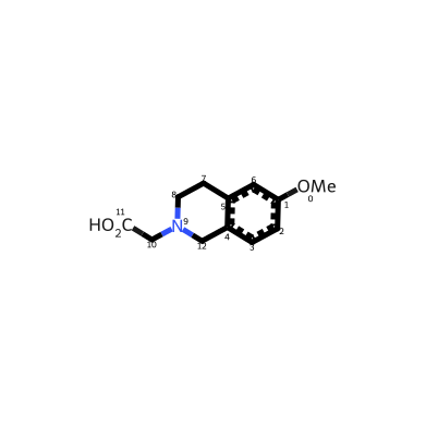 COc1ccc2c(c1)CCN(CC(=O)O)C2